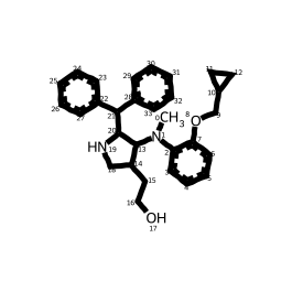 CN(c1ccccc1OCC1CC1)C1C(CCO)CNC1C(c1ccccc1)c1ccccc1